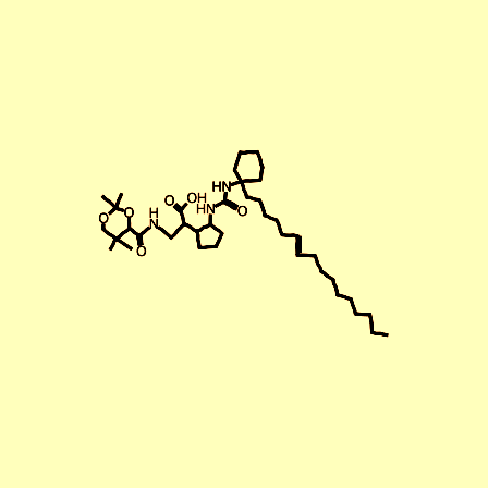 CCCCCCCCCC=CCCCCCC1(NC(=O)NC2CCCC2C(CNC(=O)C2OC(C)(C)OCC2(C)C)C(=O)O)CCCCC1